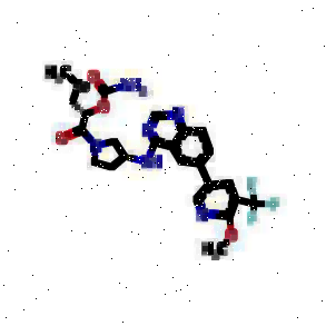 COc1ncc(-c2ccc3ncnc(N[C@H]4CCN(C(=O)[C@H](C[Se]C)OC(N)=O)C4)c3c2)cc1C(F)(F)F